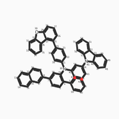 c1ccc(-c2ccc(-c3ccc4ccccc4c3)cc2N(c2ccc(-c3cccc4oc5ccccc5c34)cc2)c2cccc(-n3c4ccccc4c4ccccc43)c2)cc1